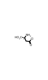 N[C@@H](CC(=O)Cl)C(=O)O